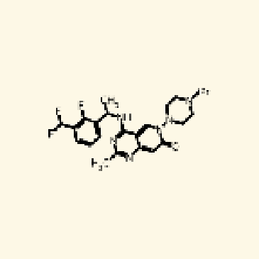 Cc1nc(N[C@H](C)c2cccc(C(F)F)c2F)c2cn(N3CCN(C(C)C)CC3)c(=O)cc2n1